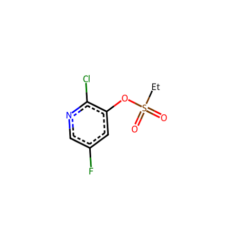 CCS(=O)(=O)Oc1cc(F)cnc1Cl